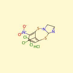 Cl.O=[N+]([O-])c1ccc2c(C(Cl)(Cl)Cl)c1SN1CC=NC1S2